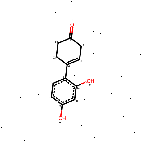 O=C1CC=C(c2ccc(O)cc2O)CC1